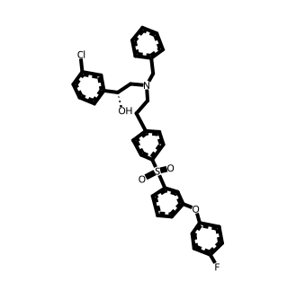 O=S(=O)(c1ccc(CCN(Cc2ccccc2)C[C@H](O)c2cccc(Cl)c2)cc1)c1cccc(Oc2ccc(F)cc2)c1